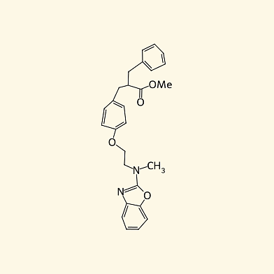 COC(=O)C(Cc1ccccc1)Cc1ccc(OCCN(C)c2nc3ccccc3o2)cc1